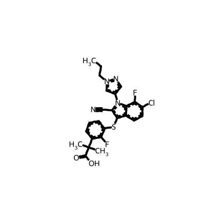 CCCn1cc(-n2c(C#N)c(Sc3cccc(C(C)(C)C(=O)O)c3F)c3ccc(Cl)c(F)c32)cn1